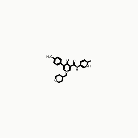 Cc1ccc(-c2cn(CC3CCOCC3)cc(C(=O)NC3=CNC(I)C=C3)c2=O)cc1